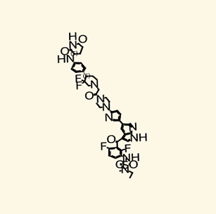 CCN(C)S(=O)(=O)Nc1ccc(F)c(C(=O)c2c[nH]c3ncc(-c4ccc(N5CCN(C(=O)CN6CC[C@@H](c7ccc(N[C@H]8CCC(=O)NC8=O)cc7)C(F)(F)C6)CC5)nc4)cc23)c1F